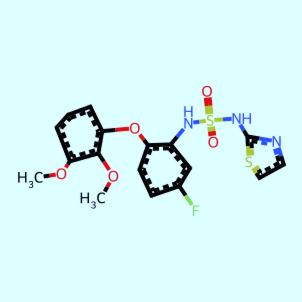 COc1cccc(Oc2ccc(F)cc2NS(=O)(=O)Nc2nccs2)c1OC